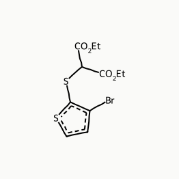 CCOC(=O)C(Sc1sccc1Br)C(=O)OCC